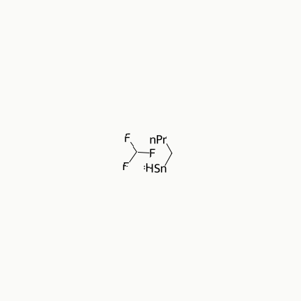 CCC[CH2][SnH].FC(F)F